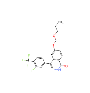 CCCOCOc1ccc2c(=O)[nH]cc(-c3ccc(C(F)(F)F)c(F)c3)c2c1